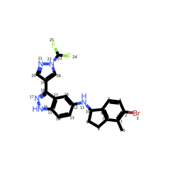 Cc1c(Br)ccc2c1CCC2Nc1ccc2[nH]nc(-c3cnn(C(F)F)c3)c2c1